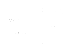 COc1cc2sc(C(=O)O)c(OC3CCOC3)c2cc1OC